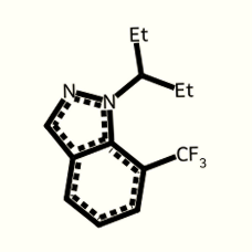 CCC(CC)n1ncc2cccc(C(F)(F)F)c21